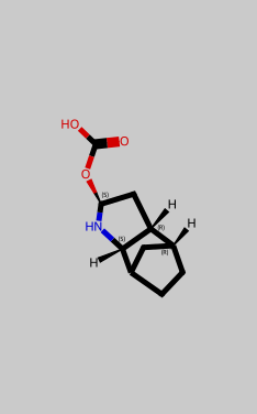 O=C(O)O[C@H]1C[C@@H]2[C@@H]3CCC(C3)[C@@H]2N1